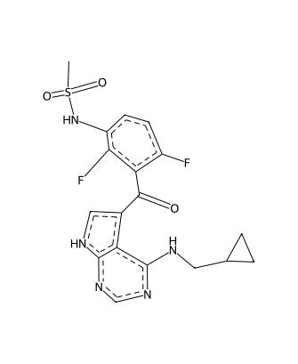 CS(=O)(=O)Nc1ccc(F)c(C(=O)c2c[nH]c3ncnc(NCC4CC4)c23)c1F